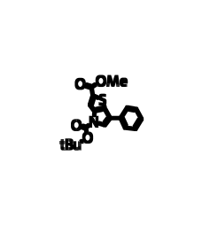 COC(=O)c1cc2c(s1)c(-c1ccccc1)cn2C(=O)OC(C)(C)C